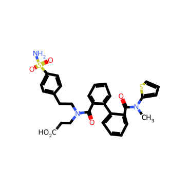 CN(C(=O)c1ccccc1-c1ccccc1C(=O)N(CCC(=O)O)CCc1ccc(S(N)(=O)=O)cc1)c1cccs1